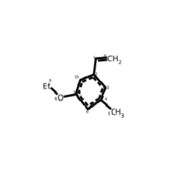 C=Cc1cc(C)cc(OCC)c1